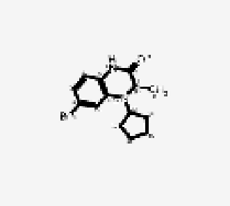 C[C@@H]1C(=O)Nc2ccc(Br)cc2N1C1CCCC1